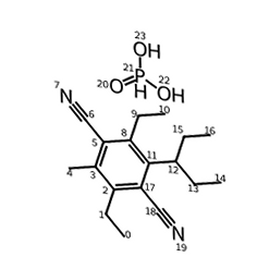 CCc1c(C)c(C#N)c(CC)c(C(CC)CC)c1C#N.O=[PH](O)O